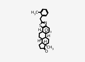 Cc1ccccc1Cc1nc2c(s1)[C@@H]1CC[C@@H]3[C@H](CC[C@]4(C)C(=O)CC[C@@H]34)[C@@]1(C)CC2